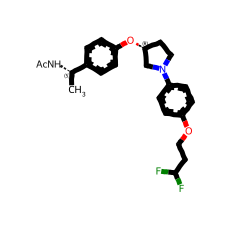 CC(=O)N[C@@H](C)c1ccc(O[C@@H]2CCN(c3ccc(OCCC(F)F)cc3)C2)cc1